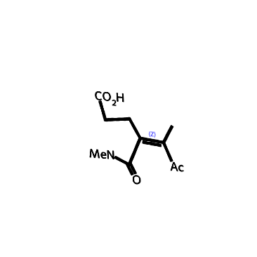 CNC(=O)/C(CCC(=O)O)=C(/C)C(C)=O